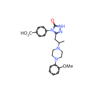 COc1ccccc1N1CCN(C(C)Cc2n[nH]c(=O)n2-c2ccc(C(=O)O)cc2)CC1